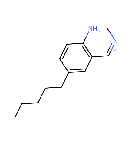 CCCCCc1ccc(N)c(/C=N\C)c1